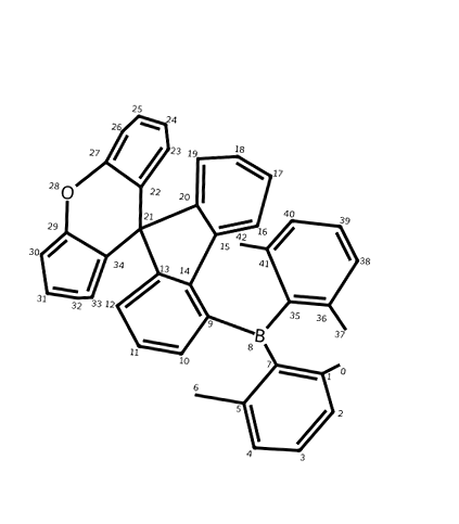 Cc1cccc(C)c1B(c1cccc2c1-c1ccccc1C21c2ccccc2Oc2ccccc21)c1c(C)cccc1C